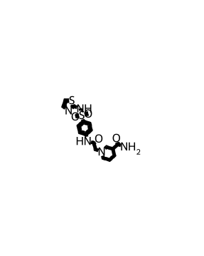 NC(=O)C1CCCN(CC(=O)Nc2ccc(S(=O)(=O)Nc3nccs3)cc2)C1